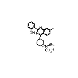 Cc1ccc2c(N3CCC[C@@H](N(C(=O)O)C(C)(C)C)C3)nc(-c3ccccc3O)nc2c1